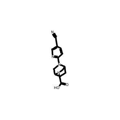 N#Cc1ccc(N2CC3CCC2CN3C(=O)O)nc1